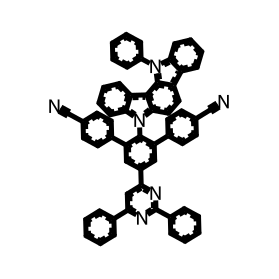 N#Cc1ccc(-c2cc(-c3cc(-c4ccccc4)nc(-c4ccccc4)n3)cc(-c3ccc(C#N)cc3)c2-n2c3ccccc3c3c2ccc2c4ccccc4n(-c4ccccc4)c23)cc1